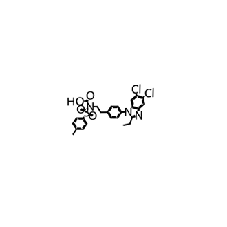 CCc1nc2cc(Cl)c(Cl)cc2n1-c1ccc(CCN(C(=O)O)S(=O)(=O)c2ccc(C)cc2)cc1